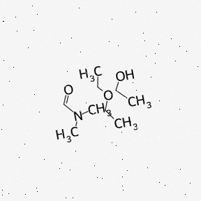 CCO.CCOCC.CN(C)C=O